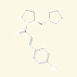 N#Cc1ccc(/C=C/C(=O)N2CCC[C@H]2CN2CCCC2)cc1